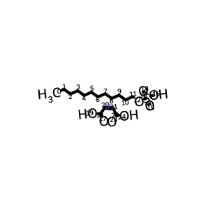 CCCCCCCCCCCCOS(=O)(=O)O.O=C(O)/C=C\C(=O)O